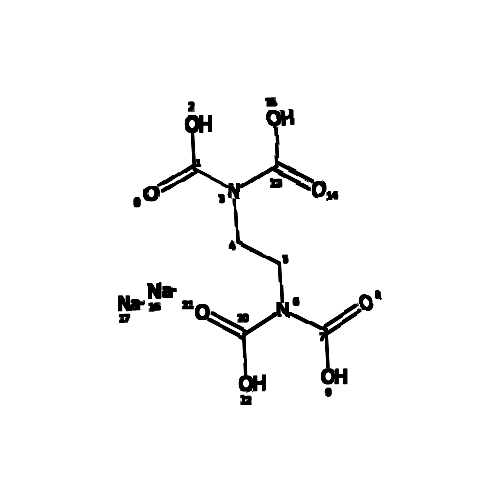 O=C(O)N(CCN(C(=O)O)C(=O)O)C(=O)O.[Na].[Na]